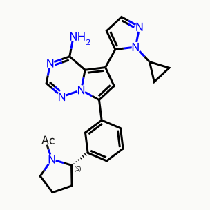 CC(=O)N1CCC[C@H]1c1cccc(-c2cc(-c3ccnn3C3CC3)c3c(N)ncnn23)c1